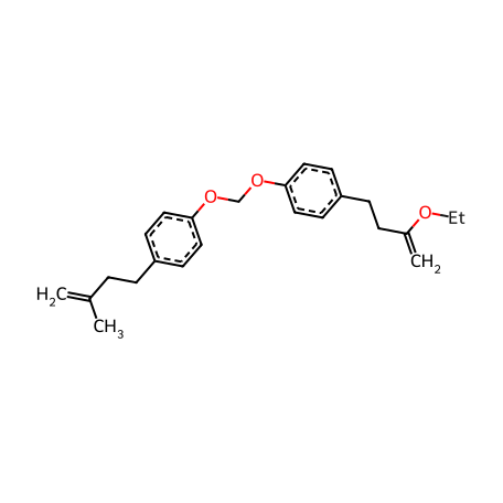 C=C(C)CCc1ccc(OCOc2ccc(CCC(=C)OCC)cc2)cc1